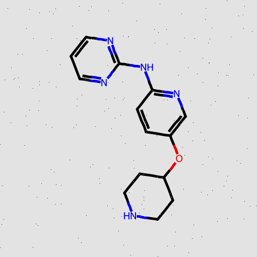 c1cnc(Nc2ccc(OC3CCNCC3)cn2)nc1